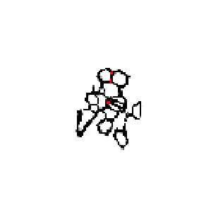 CC1(N(C2CC=CCC2)C2C=CC=CC2C2CCCCC2)CCC2C3C=CC=CC3C3(C4C=CC=C(N(C5=CCCCC5)C5CCCCC5)C4C4C=CCCC43)C2C1